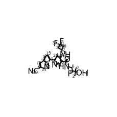 CC(C)(O)C(F)CNC(=O)c1cnc(-c2ccc3cc(C#N)cnn23)cc1NC1CC(F)(F)C1